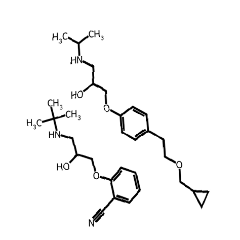 CC(C)(C)NCC(O)COc1ccccc1C#N.CC(C)NCC(O)COc1ccc(CCOCC2CC2)cc1